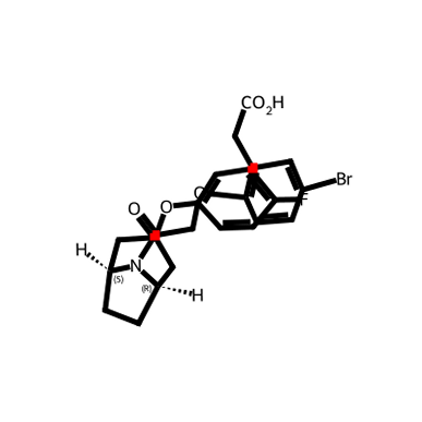 O=C(O)Cc1cc(Br)ccc1OCC(=O)N1[C@@H]2CC[C@H]1CC(Oc1ccc(F)cc1)C2